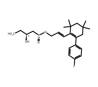 CC1(C)CC(c2ccc(F)cc2)=C(C=CCO[PH](=O)C[C@@H](O)CC(=O)O)C(C)(C)C1